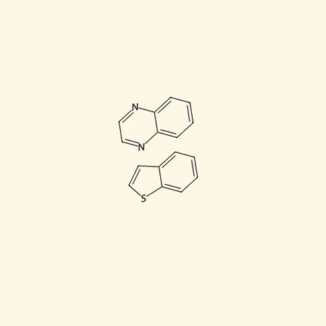 c1ccc2nccnc2c1.c1ccc2sccc2c1